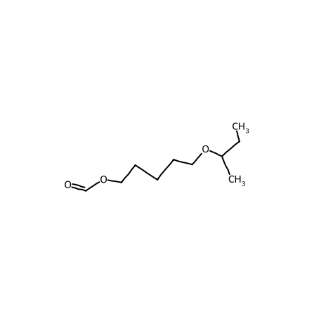 CCC(C)OCCCCCOC=O